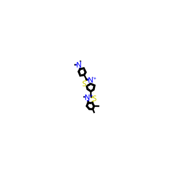 Cc1ccc2c(sc(-c3ccc4c(c3)sc(-c3ccc(N(C)C)cc3)[n+]4C)[n+]2C)c1C